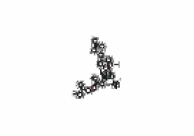 Cc1noc(C)c1-c1cnc(NCC(=O)O)c([N+](=O)[O-])c1.[Pd].c1ccc(P(c2ccccc2)c2ccccc2)cc1.c1ccc(P(c2ccccc2)c2ccccc2)cc1.c1ccc(P(c2ccccc2)c2ccccc2)cc1.c1ccc(P(c2ccccc2)c2ccccc2)cc1